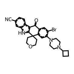 N#Cc1ccc2c3c([nH]c2c1)C1(CCOCC1)c1cc(N2CCN(C4CCC4)CC2)c(Br)cc1C3=O